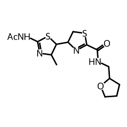 CC(=O)NC1=NC(C)C(C2CSC(C(=O)NCC3CCCO3)=N2)S1